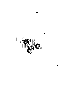 Cc1cc(Nc2nc(NC3CCNCC3)nc3sccc23)n[nH]1